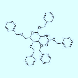 O=C(N[C@@H]1[C@@H](OCc2ccccc2)O[C@H](COCc2ccccc2)[C@@H](OCc2ccccc2)[C@@H]1OCc1ccccc1)OCc1ccccc1